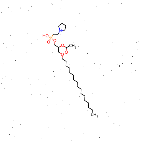 CCCCCCCCCCCCCCCCCOCC(COP(=O)(O)CCN1CCCC1)OC(C)=O